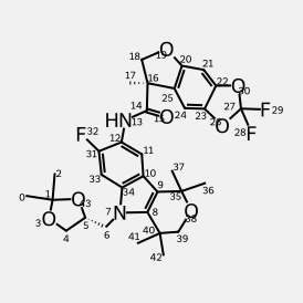 CC1(C)OC[C@@H](Cn2c3c(c4cc(NC(=O)[C@@]5(C)COc6cc7c(cc65)OC(F)(F)O7)c(F)cc42)C(C)(C)OCC3(C)C)O1